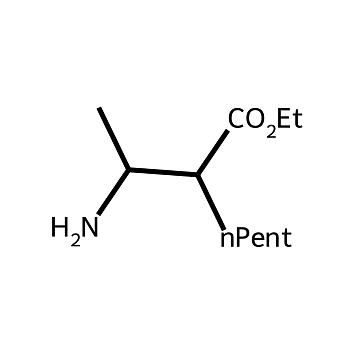 CCCCCC(C(=O)OCC)C(C)N